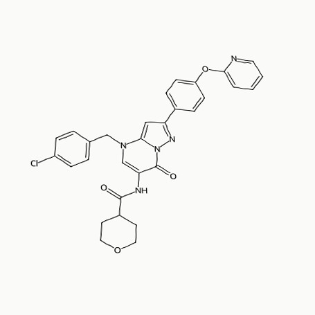 O=C(Nc1cn(Cc2ccc(Cl)cc2)c2cc(-c3ccc(Oc4ccccn4)cc3)nn2c1=O)C1CCOCC1